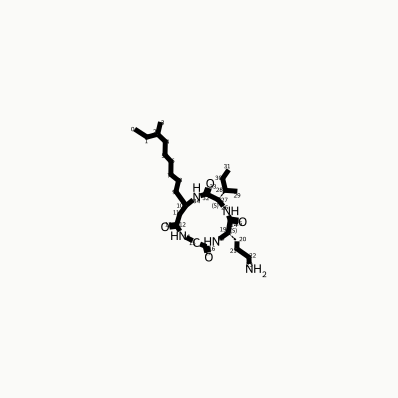 CCC(C)CCCCCCC1CC(=O)NCC(=O)N[C@@H](CCCN)C(=O)N[C@@H](C(C)CC)C(=O)N1